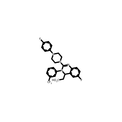 O=C(O)CC1c2cc(F)ccc2N=C(N2CCN(c3ccc(F)cc3)CC2)N1c1cccc(C(F)(F)F)c1